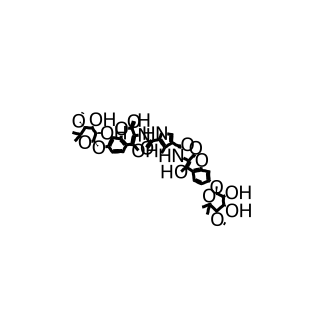 CO[C@@H]1[C@@H](O)[C@@H](O)[C@H](Oc2ccc3c(O)c(NC(=O)c4[nH]cc(C(=O)Nc5c(O)c6ccc(O[C@@H]7OC(C)(C)[C@H](OC)[C@@H](O)C7O)cc6oc5=O)c4C)c(=O)oc3c2)OC1(C)C